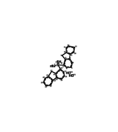 CCC[CH2][Ti](=[SiH2])([c]1cccc2c1Cc1ccccc1-2)[c]1cccc2c1Cc1ccccc1-2.Cl.Cl